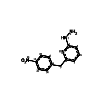 NNc1cccc(Cc2ccc([N+](=O)[O-])cc2)n1